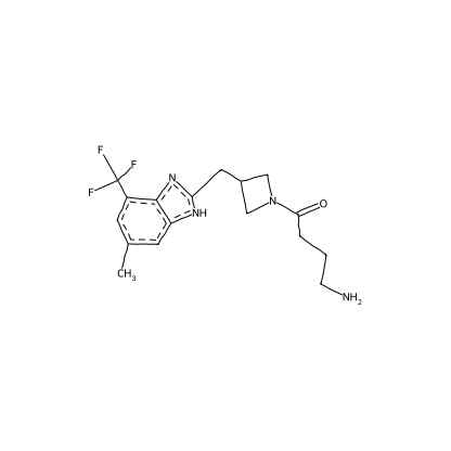 Cc1cc(C(F)(F)F)c2nc(CC3CN(C(=O)CCCN)C3)[nH]c2c1